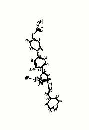 O=C(O)CC1CCC(c2ccc(-c3cc(OCC4CCOCC4)n[nH]3)cc2)CC1